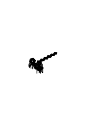 CCCCCCCCCCc1cc2c(s1)-n1c(C)nnc1CN=C2c1ccccc1OC